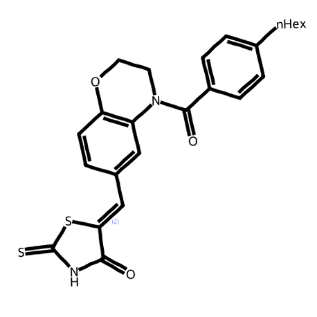 CCCCCCc1ccc(C(=O)N2CCOc3ccc(/C=C4\SC(=S)NC4=O)cc32)cc1